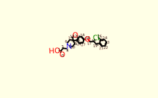 O=C(O)CCN1CCC2(CC1)COc1cc(OCCCc3ccccc3Cl)ccc12